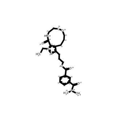 CCn1nc(CCCOC(=O)c2cccc(C(=O)N(C)C)c2)c2c1C(=O)NCCCOCCC2